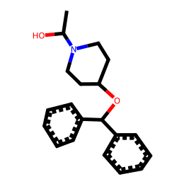 CC(O)N1CCC(OC(c2ccccc2)c2ccccc2)CC1